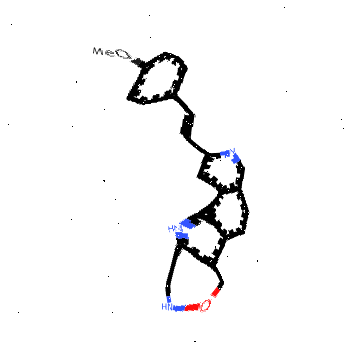 COc1ccc(/C=C/c2cc3c(ccc4c5c([nH]c43)CNOC5)cn2)cc1